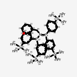 CCC[Si](CCC)(CCC)c1ccc(P(c2ccc([Si](CCC)(CCC)CCC)cc2)N(Cc2ccccc2)P(c2cccc([Si](CCC)(CCC)CCC)c2)c2cccc([Si](CCC)(CCC)CCC)c2)cc1